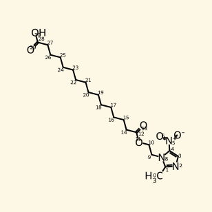 Cc1ncc([N+](=O)[O-])n1CCOC(=O)CCCCCCCCCCCCCCC(=O)O